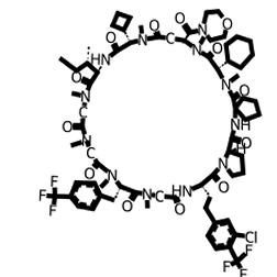 CC[C@H](C)[C@@H]1NC(=O)[C@H](C2CCC2)N(C)C(=O)C[C@@H](C(=O)N2CCOCC2)N(C)C(=O)[C@H](C2CCCCC2)N(C)C(=O)C2(CCCC2)NC(=O)[C@@H]2CCCN2C(=O)[C@H](CCc2ccc(C(F)(F)F)c(Cl)c2)NC(=O)CN(C)C(=O)[C@H](Cc2ccc(C(F)(F)F)cc2)N(C)C(=O)CN(C)C(=O)CN(C)C1=O